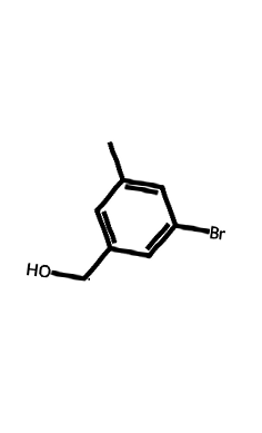 Cc1cc(Br)cc([CH]O)c1